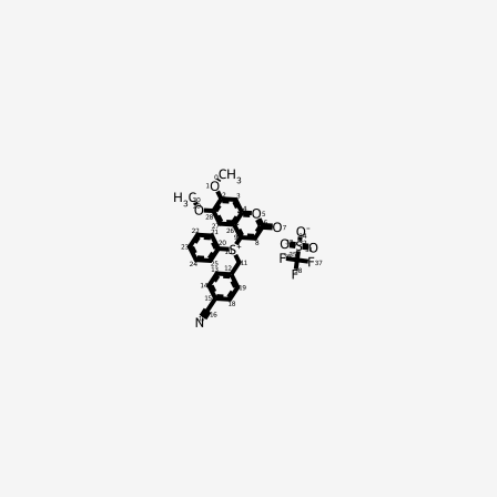 COc1cc2oc(=O)cc([S+](Cc3ccc(C#N)cc3)c3ccccc3)c2cc1OC.O=S(=O)([O-])C(F)(F)F